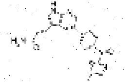 Cc1cnc(C(=O)c2ccc(-c3cnc4[nH]cc(C=CC(N)=O)c4c3)cc2)s1